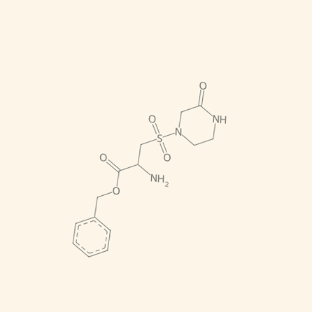 NC(CS(=O)(=O)N1CCNC(=O)C1)C(=O)OCc1ccccc1